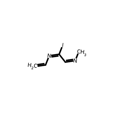 C=C/N=C(I)\C=N/C